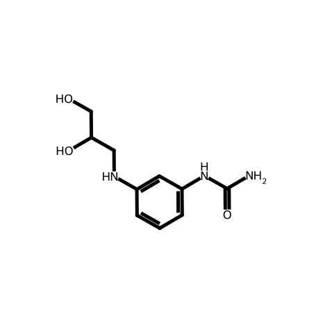 NC(=O)Nc1cccc(NCC(O)CO)c1